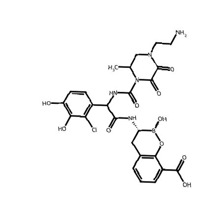 CC1CN(CCN)C(=O)C(=O)N1C(=O)NC(C(=O)N[C@H]1Cc2cccc(C(=O)O)c2OB1O)c1ccc(O)c(O)c1Cl